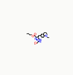 CCCCOC(=O)c1nn2c(COC)nnc2/c1=C\c1ccc2c(c1)CCCN2CC